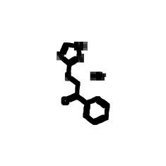 Br.O=C(CSc1nc[nH]n1)c1ccccc1